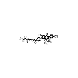 CCc1cc2c(cc1N1CCN(C(=O)COCCCNC(=O)[C@@H](N)C(C)(C)C)CC1)C(C)(C)c1[nH]c3cc(C#N)ccc3c1C2=O